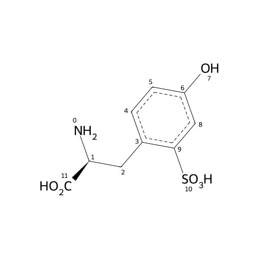 N[C@@H](Cc1ccc(O)cc1S(=O)(=O)O)C(=O)O